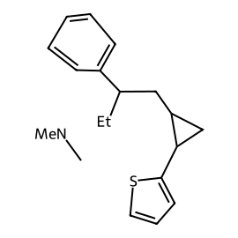 CCC(CC1CC1c1cccs1)c1ccccc1.CNC